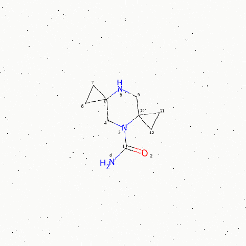 NC(=O)N1CC2(CC2)NCC12CC2